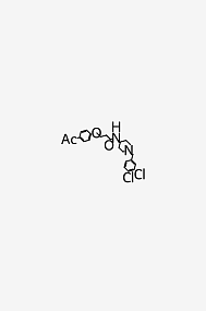 CC(=O)c1ccc(OCCC(=O)NC2CCN(Cc3ccc(Cl)c(Cl)c3)CC2)cc1